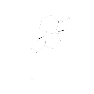 CC(C)(C)COC(=O)N1CC[C@H]2C(=O)CCC[C@H]21